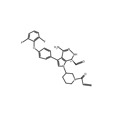 C=CC(=O)N1CCCC(n2cc(-c3ccc(Oc4c(F)cccc4F)cc3)c3c2[C@H](C=O)NN=C3N)C1